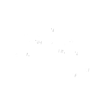 Cc1scnc1C(=O)N[C@H](C)c1ncc(C(=O)Nc2cc(C(F)(F)F)c(Cl)cn2)s1